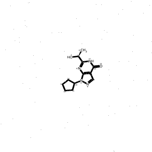 C[C@H](O)c1nc2c(cnn2C2CCCC2)c(=O)[nH]1